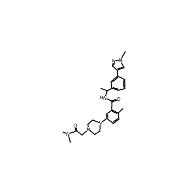 Cc1ccc(N2CCN(CC(=O)N(C)C)CC2)cc1C(=O)NC(C)c1cccc(-c2cnn(C)c2)c1